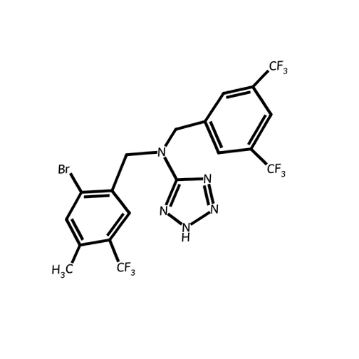 Cc1cc(Br)c(CN(Cc2cc(C(F)(F)F)cc(C(F)(F)F)c2)c2nn[nH]n2)cc1C(F)(F)F